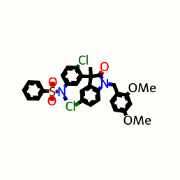 COc1ccc(CN2C(=O)C(C)(c3cc(N(C)S(=O)(=O)c4ccccc4)ccc3Cl)c3cc(Cl)ccc32)c(OC)c1